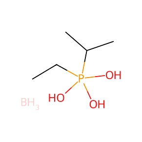 B.CCP(O)(O)(O)C(C)C